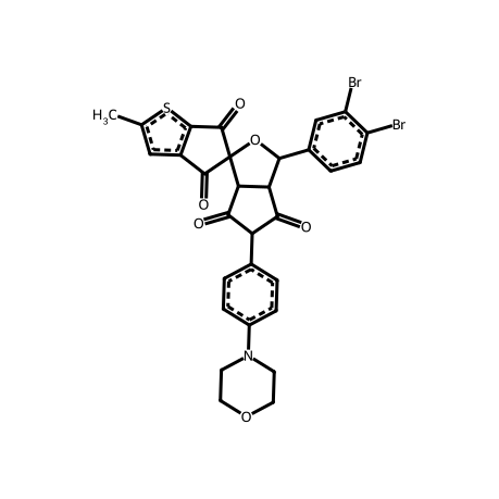 Cc1cc2c(s1)C(=O)C1(OC(c3ccc(Br)c(Br)c3)C3C(=O)C(c4ccc(N5CCOCC5)cc4)C(=O)C31)C2=O